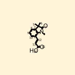 CN1C(=O)C(C)(C)c2cccc(/C=C/C(=O)O)c21